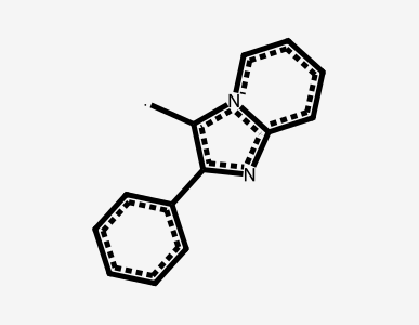 [CH2]c1c(-c2ccccc2)nc2ccccn12